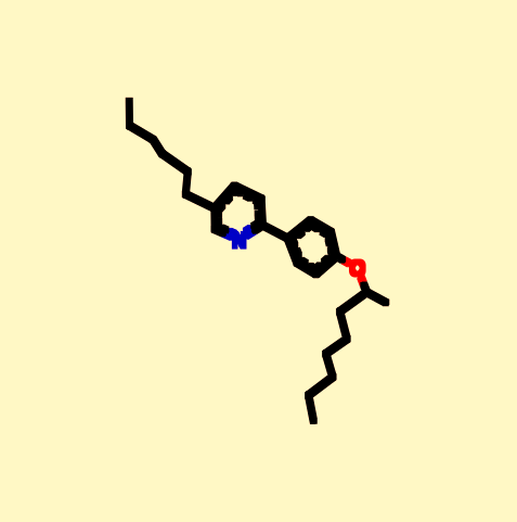 CCCCCCc1ccc(-c2ccc(OC(C)CCCCCC)cc2)nc1